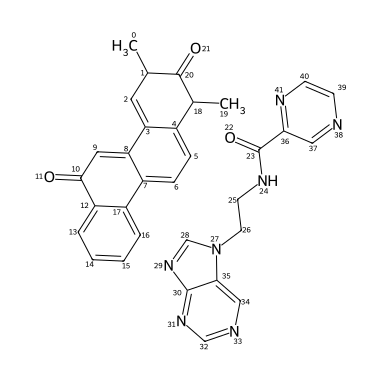 CC1C=c2c(ccc3c2=CC(=O)c2ccccc2-3)C(C)C1=O.O=C(NCCn1cnc2ncncc21)c1cnccn1